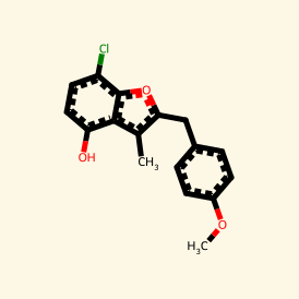 COc1ccc(Cc2oc3c(Cl)ccc(O)c3c2C)cc1